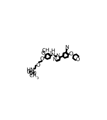 COc1cc(Nc2nccc(-c3ccc(OC4CCOCC4)c(C#N)c3)n2)ccc1OCCOCCNS(C)(=O)=O